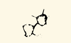 Nc1nccnc1-c1cccc(Cl)c1Cl